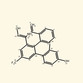 C=Cc1ccccc1-c1c(/C(N)=N/O)cc(C(F)(F)F)cc1-c1ccc(O)cc1F